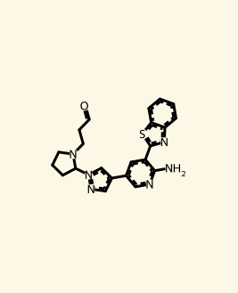 Nc1ncc(-c2cnn(C3CCCN3CCC=O)c2)cc1-c1nc2ccccc2s1